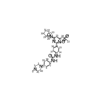 CN1CCN(c2ccc(NC(=O)Nc3ccc(-c4nc(CS(C)(=O)=O)cc(N5CC6CCC(C5)O6)n4)cc3)cc2)CC1